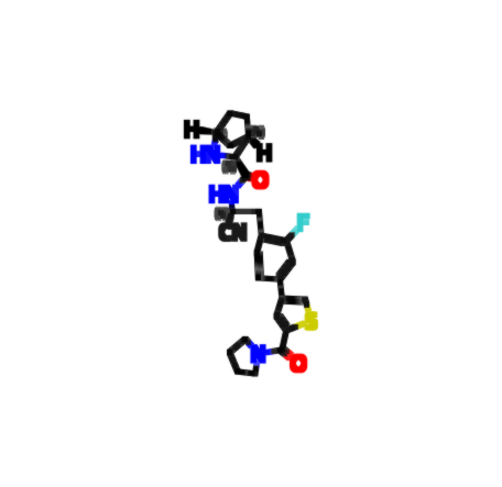 N#C[C@H](Cc1ccc(-c2csc(C(=O)N3CCCC3)c2)cc1F)NC(=O)[C@H]1N[C@@H]2CC[C@H]1C2